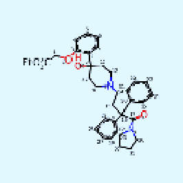 CCOC(=O)COc1ccccc1C1(O)CCN(CCC(C(=O)N2CCCC2)(c2ccccc2)c2ccccc2)CC1